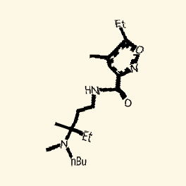 CCCCN(C)C(C)(CC)CCNC(=O)c1noc(CC)c1C